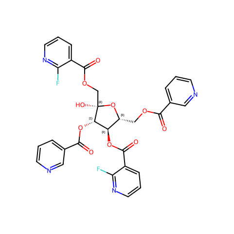 O=C(OC[C@H]1O[C@](O)(COC(=O)c2cccnc2F)[C@@H](OC(=O)c2cccnc2)[C@@H]1OC(=O)c1cccnc1F)c1cccnc1